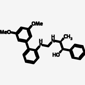 COc1cc(OC)cc(-c2ccccc2PCN[C@@H](C)[C@H](O)c2ccccc2)c1